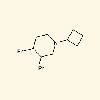 CC(C)C1CCN(C2CCC2)CC1C(C)C